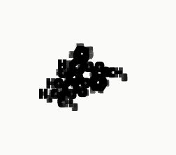 COc1cccc2c1C(=O)OCc1c(CC3CC4CCC3C4)c(C)c(C(O)CC(C)C)c(C(=O)O)c1O2